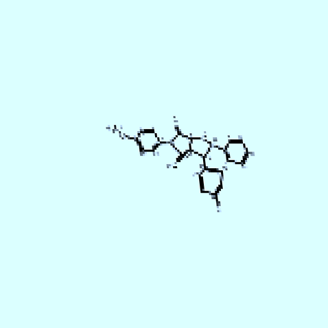 COc1ccc(N2C(=O)C3ON(c4ccccc4)C(c4ccc(F)cc4)C3C2=O)cc1